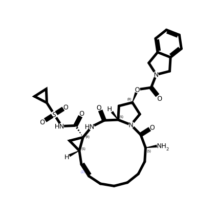 N[C@H]1CCCCC/C=C\[C@@H]2C[C@@]2(C(=O)NS(=O)(=O)C2CC2)NC(=O)[C@@H]2C[C@@H](OC(=O)N3Cc4ccccc4C3)CN2C1=O